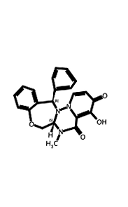 CN1C(=O)c2c(O)c(=O)ccn2N2[C@H](c3ccccc3)c3ccccc3OC[C@@H]12